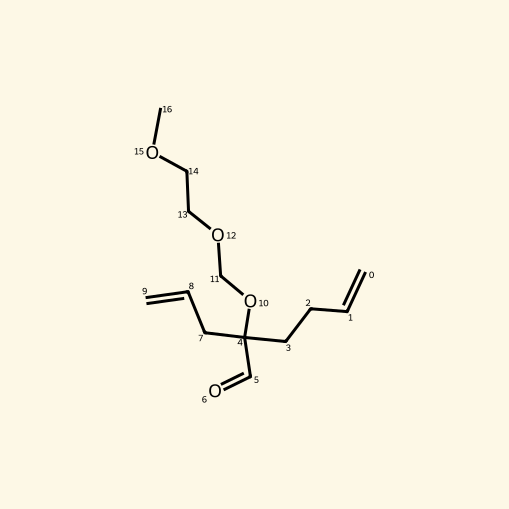 C=CCCC(C=O)(CC=C)OCOCCOC